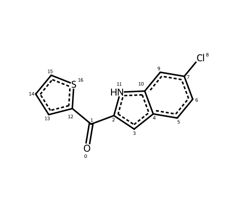 O=C(c1cc2ccc(Cl)cc2[nH]1)c1cccs1